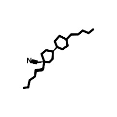 CCCCC=C[C@]1(C#N)CC[C@@H](C2CCC(CCCCC)CC2)CC1